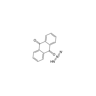 O=C1c2ccccc2C(=O)c2ccccc21.[N-]=[N+]=N